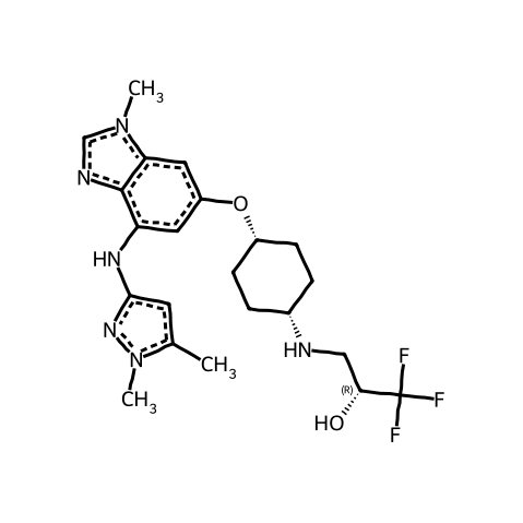 Cc1cc(Nc2cc(O[C@H]3CC[C@@H](NC[C@@H](O)C(F)(F)F)CC3)cc3c2ncn3C)nn1C